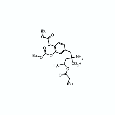 CCC(C)OC(=O)Oc1ccc(CC(N)(C[C@H](C)OC(=O)CC(C)(C)C)C(=O)O)cc1OC(=O)OC(C)CC